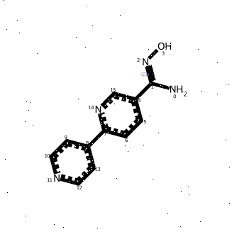 N/C(=N\O)c1ccc(-c2ccncc2)nc1